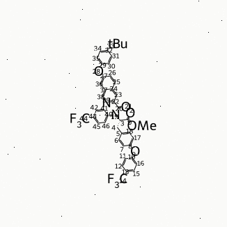 COC(=O)[C@H](Cc1ccc(Oc2ccc(C(F)(F)F)cc2)cc1)N(C(=O)c1cc2ccc(Oc3ccc(C(C)(C)C)cc3)cc2cn1)c1ccc(C(F)(F)F)cc1